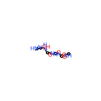 Cc1cc(-c2ccc([C@@H](O)CN[C@H](C)Cc3cccc(CC(=O)NCc4ccc(C(=O)NCc5cccc(S(=O)(=O)NCc6ccccc6)c5)cc4)c3)cn2)c(C)[nH]1